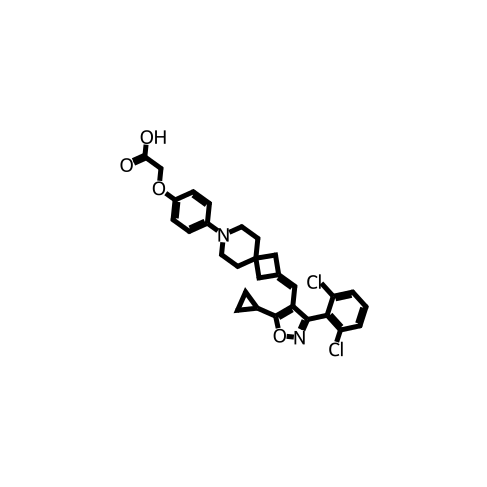 O=C(O)COc1ccc(N2CCC3(CC2)CC(=Cc2c(-c4c(Cl)cccc4Cl)noc2C2CC2)C3)cc1